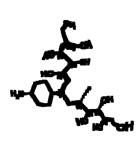 C[C@@H](CN(C[C@H](O)[C@@H](O)[C@H](O)[C@H](O)CO)[C@H]1CC[C@H](N)CC1)[C@@H](O)[C@H](O)[C@H](O)CO